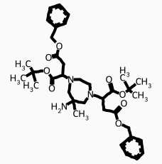 CC1(N)CN(C(CC(=O)OCc2ccccc2)C(=O)OC(C)(C)C)CCN(C(CC(=O)OCc2ccccc2)C(=O)OC(C)(C)C)C1